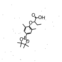 CCC(Oc1c(C)cc(B2OC(C)(C)C(C)(C)O2)cc1C)C(=O)O